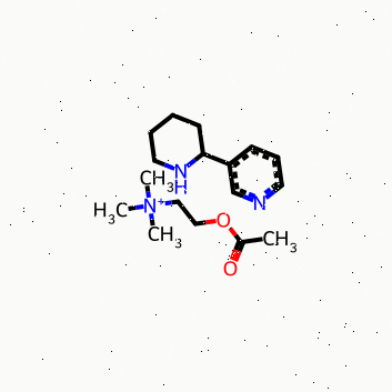 CC(=O)OCC[N+](C)(C)C.c1cncc(C2CCCCN2)c1